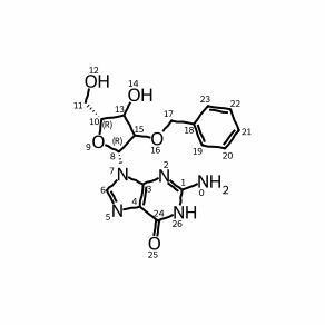 Nc1nc2c(ncn2[C@@H]2O[C@H](CO)C(O)C2OCc2ccccc2)c(=O)[nH]1